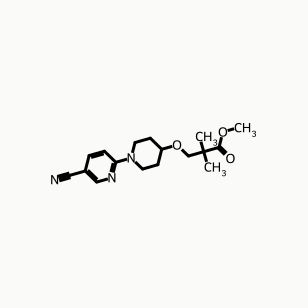 COC(=O)C(C)(C)COC1CCN(c2ccc(C#N)cn2)CC1